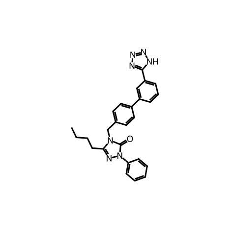 CCCCc1nn(-c2ccccc2)c(=O)n1Cc1ccc(-c2cccc(-c3nnn[nH]3)c2)cc1